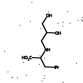 CC(C)CC(NCC(O)CO)C(=O)O